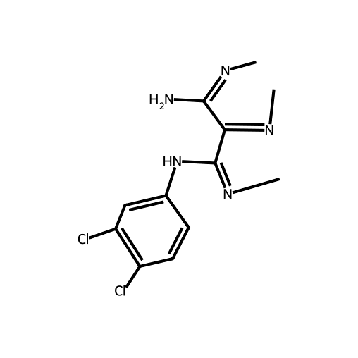 CN=C(Nc1ccc(Cl)c(Cl)c1)C(=N/C)/C(N)=N\C